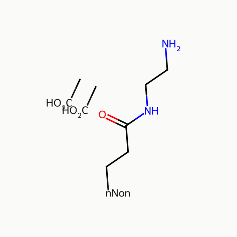 CC(=O)O.CC(=O)O.CCCCCCCCCCCC(=O)NCCN